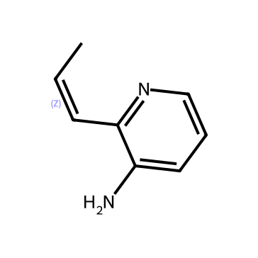 C/C=C\c1ncccc1N